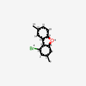 Cc1cc(Br)c2c(c1)oc1ccc(C)cc12